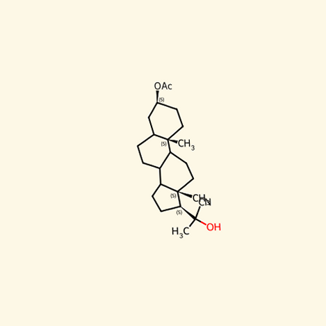 CC(=O)O[C@H]1CC[C@@]2(C)C(CCC3C2CC[C@@]2(C)C3CC[C@@H]2C(C)(O)C#N)C1